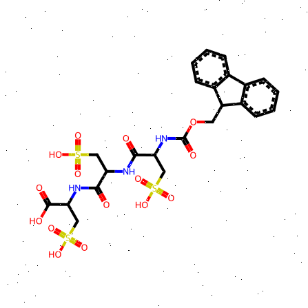 O=C(NC(CS(=O)(=O)O)C(=O)NC(CS(=O)(=O)O)C(=O)NC(CS(=O)(=O)O)C(=O)O)OCC1c2ccccc2-c2ccccc21